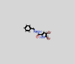 O=C(NN=Cc1ccccc1)c1cc(Br)c(Br)[nH]1